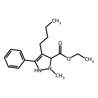 CCCCC1=C(c2ccccc2)NN(C)C1C(=O)OCC